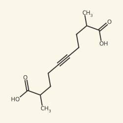 CC(CCC#CCCC(C)C(=O)O)C(=O)O